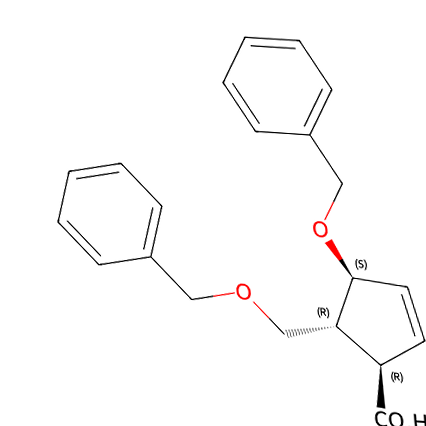 O=C(O)[C@@H]1C=C[C@H](OCc2ccccc2)[C@H]1COCc1ccccc1